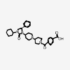 O=C(O)c1ccc(C(=O)N2CCC(N3CCC(N4C(=O)N(C5CCCCC5)C[C@H]4c4ccccc4)CC3)CC2)cc1